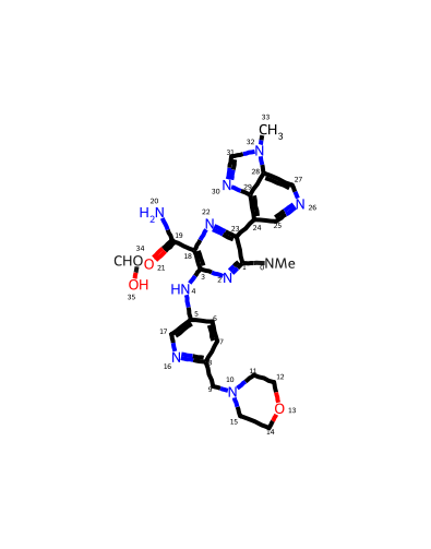 CNc1nc(Nc2ccc(CN3CCOCC3)nc2)c(C(N)=O)nc1-c1cncc2c1ncn2C.O=CO